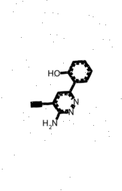 C#Cc1cc(-c2ccccc2O)nnc1N